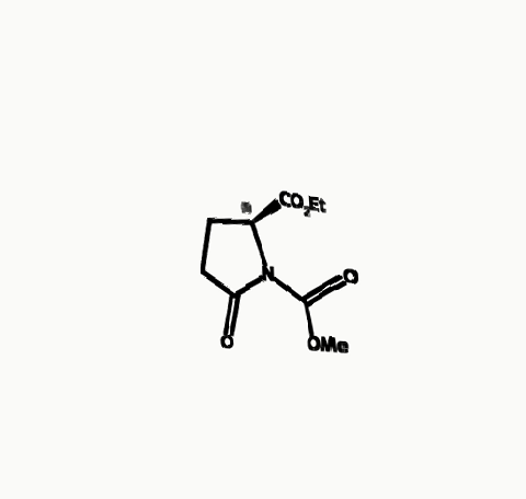 CCOC(=O)[C@@H]1CCC(=O)N1C(=O)OC